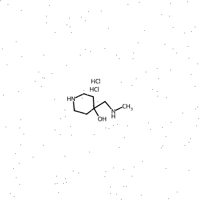 CNCC1(O)CCNCC1.Cl.Cl